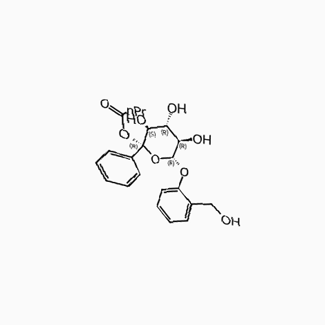 CCCC(=O)O[C@@]1(c2ccccc2)O[C@@H](Oc2ccccc2CO)[C@H](O)[C@@H](O)[C@@H]1O